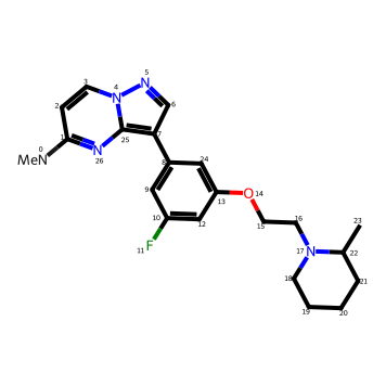 CNc1ccn2ncc(-c3cc(F)cc(OCCN4CCCCC4C)c3)c2n1